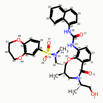 C[C@@H]1CN([C@@H](C)CO)C(=O)c2cccc(NC(=O)Nc3cccc4ccccc34)c2O[C@H]1CN(C)S(=O)(=O)c1ccc2c(c1)OCCCO2